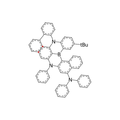 CC(C)(C)c1ccc2c(c1)B1c3c(cccc3N2c2ccccc2-c2ccccc2)N(c2ccccc2)c2cc(N(c3ccccc3)c3ccccc3)c3ccccc3c21